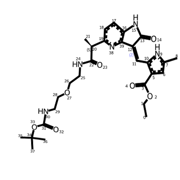 CCOC(=O)c1cc(C)[nH]c1/C=C1\C(=O)Nc2ccc([C@H](C)C(=O)NCCOCCNC(=O)OC(C)(C)C)nc21